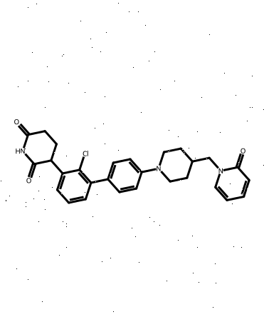 O=C1CCC(c2cccc(-c3ccc(N4CCC(Cn5ccccc5=O)CC4)cc3)c2Cl)C(=O)N1